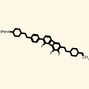 C=CC1CCC(CCc2cc3c(c(F)c2F)-c2c-3ccc(-c3ccc(CCC4CCC(CCCCC)CC4)cc3)c2F)CC1